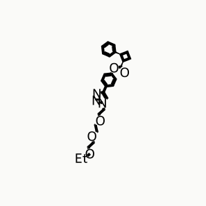 CCOCCOCCOCCn1cc(-c2ccc(OC(=O)[C@@H]3CC[C@@H]3c3ccccc3)cc2)nn1